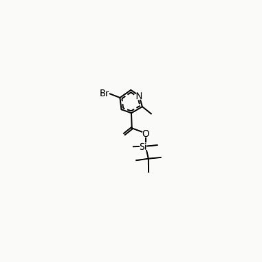 C=C(O[Si](C)(C)C(C)(C)C)c1cc(Br)cnc1C